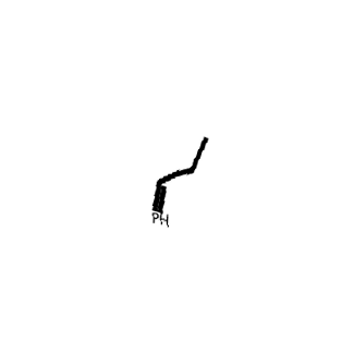 CCC=P